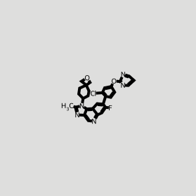 Cc1nc2cnc3cc(F)c(-c4ccc(Oc5ncccn5)cc4Cl)cc3c2n1C1CCC2(CC1)COC2